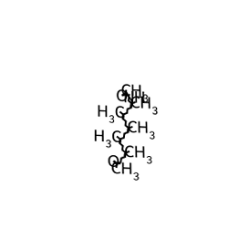 CC(=O)CCC=C(C)CCC=C(C)CCC=C(C)CCC=C(C)CCC=C(C)CNC(C)=O